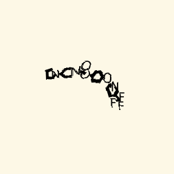 O=C(Oc1ccc(Oc2ccc(C(F)(F)F)cn2)cc1)N1CCC(N2CCCC2)CC1